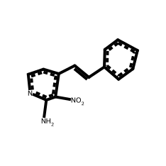 Nc1nccc(C=Cc2ccccc2)c1[N+](=O)[O-]